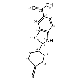 C=C1CCC(C2Nc3ccc(C(=O)O)cc3O2)CC1